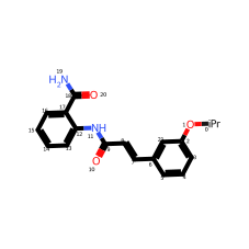 CC(C)Oc1cccc(C=CC(=O)Nc2ccccc2C(N)=O)c1